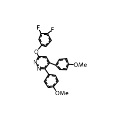 COc1ccc(-c2cc(Oc3ccc(F)c(F)c3)nnc2-c2ccc(OC)cc2)cc1